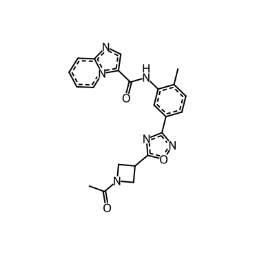 CC(=O)N1CC(c2nc(-c3ccc(C)c(NC(=O)c4cnc5ccccn45)c3)no2)C1